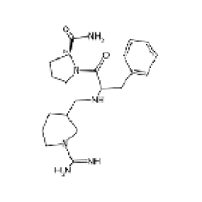 N=C(N)N1CCCC(CNC(Cc2ccccc2)C(=O)N2CCC[C@H]2C(N)=O)C1